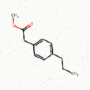 CCCc1ccc(CC(=O)OC)cc1